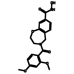 COc1ccc(C(=O)N2CCOc3cc(C(=O)NO)ccc3C2)c(OC)c1